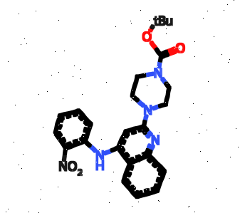 CC(C)(C)OC(=O)N1CCN(c2cc(Nc3ccccc3[N+](=O)[O-])c3ccccc3n2)CC1